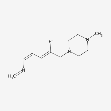 C=N/C=C\C=C(/CC)CN1CCN(C)CC1